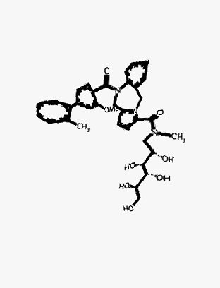 COc1cc(-c2ccccc2C)ccc1C(=O)N1Cc2ccc(C(=O)N(C)C[C@H](O)[C@@H](O)[C@H](O)[C@H](O)CO)n2Cc2ccccc21